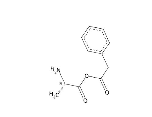 C[C@H](N)C(=O)OC(=O)Cc1ccccc1